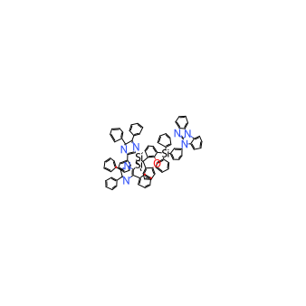 C[Si](C)(c1nc(-c2ccccc2)c(-c2ccccc2)nc1-c1ccccc1)C1([Si](C)(C)c2nc(-c3ccccc3)c(-c3ccccc3)nc2-c2ccccc2)c2ccccc2Oc2c1cccc2[Si](c1ccccc1)(c1ccccc1)c1cccc(-n2c3ccccc3n3c4ccccc4nc23)c1